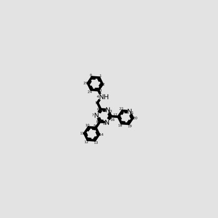 c1ccc(NCc2nc(-c3ccccc3)nc(-c3cccnc3)n2)cc1